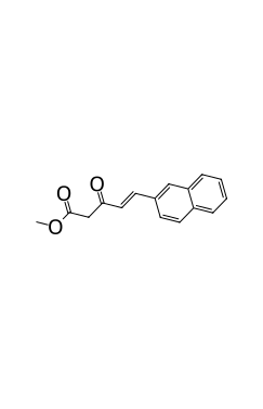 COC(=O)CC(=O)/C=C/c1ccc2ccccc2c1